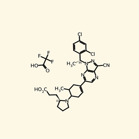 CC1CC(c2cnc3c(C#N)nn([C@H](C)c4ccc(Cl)cc4Cl)c3n2)=CCC1N1CCC[C@H]1CCC(=O)O.O=C(O)C(F)(F)F